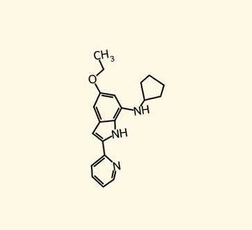 CCOc1cc(NC2CCCC2)c2[nH]c(-c3ccccn3)cc2c1